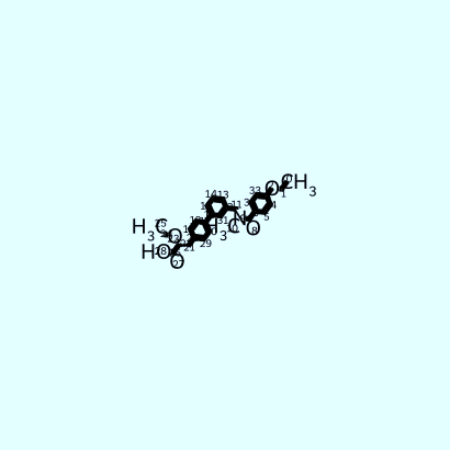 CCOc1ccc(C(=O)N(C)Cc2cccc(-c3ccc(C[C@H](OCC)C(=O)O)cc3)c2)cc1